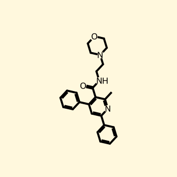 Cc1nc(-c2ccccc2)cc(-c2ccccc2)c1C(=O)NCCN1CCOCC1